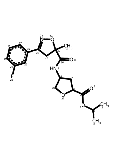 CC(C)OC(=O)C1CC(NC(=O)C2(C)CC(c3cccc(F)c3)=NO2)CO1